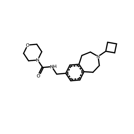 O=C(NCc1ccc2c(c1)CCN(C1CCC1)CC2)N1CCOCC1